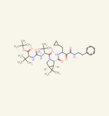 CC(C)(C)OC(=O)[C@@H](NC(=O)N[C@H](C(=O)N1C[C@H]2[C@@H]([C@H]1C(=O)NC(CC1CC1)C(=O)C(=O)NCCc1ccccc1)C2(C)C)C(C)(C)C)C(C)(C)C